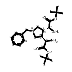 CC(C)(C)OC(=O)C(N)[C@H]1CN(Cc2ccccc2)C[C@@H]1C(N)C(=O)OC(C)(C)C